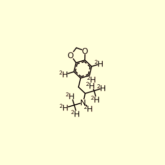 [2H]c1c([2H])c2c(c([2H])c1CC(N([2H])C([2H])([2H])[2H])C([2H])([2H])[2H])OCO2